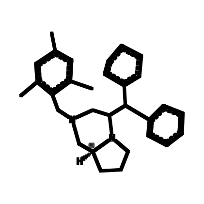 Cc1cc(C)c(CN2CC(C(c3ccccc3)c3ccccc3)N3CCC[C@H]3C2)c(C)c1